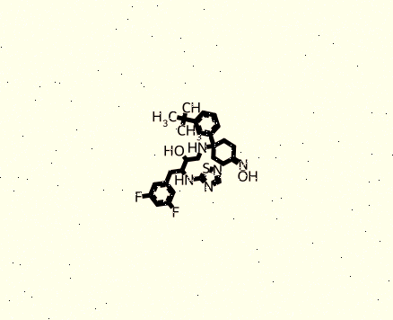 CC(C)(C)c1cccc(C2(NCC(O)C(Cc3cc(F)cc(F)c3)Nc3ncns3)CCC(=NO)CC2)c1